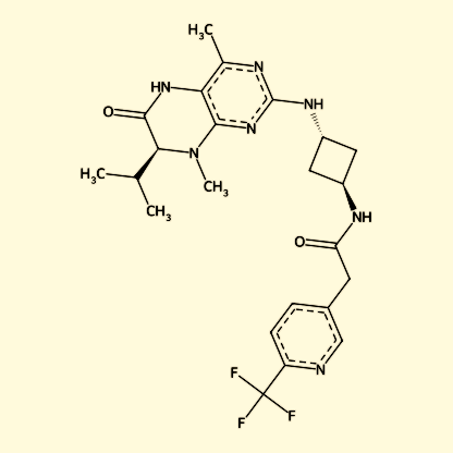 Cc1nc(N[C@H]2C[C@H](NC(=O)Cc3ccc(C(F)(F)F)nc3)C2)nc2c1NC(=O)[C@H](C(C)C)N2C